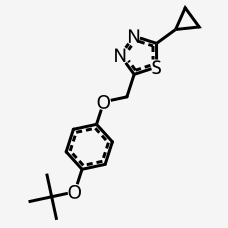 CC(C)(C)Oc1ccc(OCc2nnc(C3CC3)s2)cc1